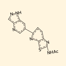 CC(=O)Nc1nc2ccc(-c3cnc4cn[nH]c4c3)nc2s1